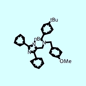 CCCCn1c(-c2ccccc2)nc(-c2ccccc2)c1CN(Cc1ccc(OC)cc1)Cc1ccc(C(C)(C)C)cc1